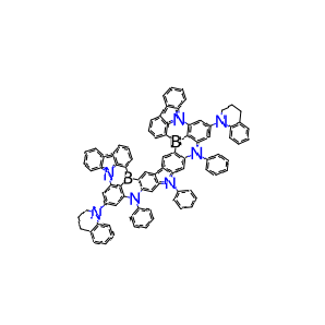 c1ccc(N2c3cc4c(cc3B3c5c2cc(N2CCCc6ccccc62)cc5-n2c5ccccc5c5cccc3c52)c2cc3c(cc2n4-c2ccccc2)N(c2ccccc2)c2cc(N4CCCc5ccccc54)cc4c2B3c2cccc3c5ccccc5n-4c23)cc1